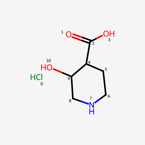 Cl.O=C(O)C1CCNCC1O